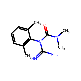 Cc1cccc(C)c1N(C(=N)N)C(=O)N(C)C